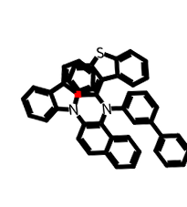 c1ccc(-c2cccc(N(c3c(-n4c5ccccc5c5ccccc54)ccc4ccccc34)c3cccc4sc5ccccc5c34)c2)cc1